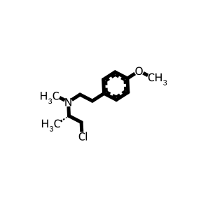 COc1ccc(CCN(C)[C@@H](C)CCl)cc1